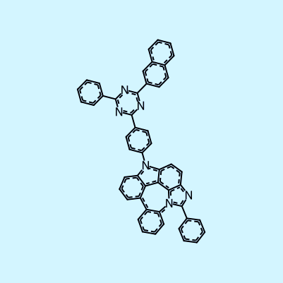 c1ccc(-c2nc(-c3ccc(-n4c5cccc6c7ccccc7n7c(-c8ccccc8)nc8ccc4c(c65)c87)cc3)nc(-c3ccc4ccccc4c3)n2)cc1